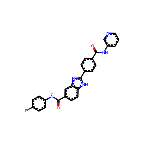 O=C(Nc1cccnc1)c1ccc(-c2nc3cc(C(=O)Nc4ccc(F)cc4)ccc3[nH]2)cc1